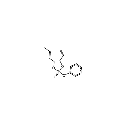 C=CCOP(=O)(OCC=CC)O[n+]1ccccc1